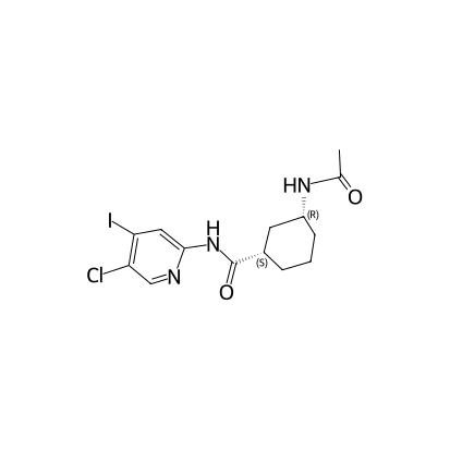 CC(=O)N[C@@H]1CCC[C@H](C(=O)Nc2cc(I)c(Cl)cn2)C1